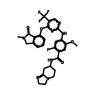 COc1cc(C(=O)NC2CCN3CCN=C3C2)c(F)cc1Nc1ncc(C(F)(F)F)c(Oc2cccc3c2C(=O)N(C)C3)n1